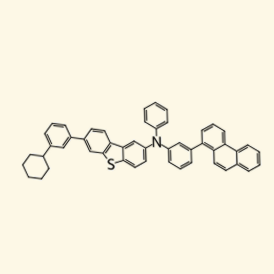 c1ccc(N(c2cccc(-c3cccc4c3ccc3ccccc34)c2)c2ccc3sc4cc(-c5cccc(C6CCCCC6)c5)ccc4c3c2)cc1